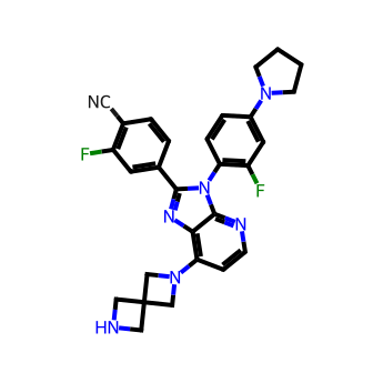 N#Cc1ccc(-c2nc3c(N4CC5(CNC5)C4)ccnc3n2-c2ccc(N3CCCC3)cc2F)cc1F